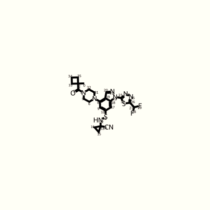 CC1(C(=O)N2CCN(c3cc(SNC4(C#N)CC4)cc4c3cnn4-c3nnc(C(F)F)s3)CC2)CCC1